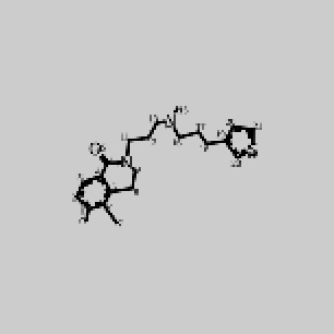 Cc1ccc2c(c1C)CCN(CCCN(C)CCCc1ccsc1)C2=O